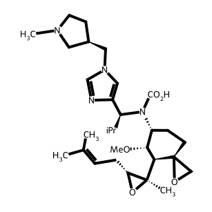 CO[C@@H]1[C@H](N(C(=O)O)[C@H](c2cn(C[C@@H]3CCN(C)C3)cn2)C(C)C)CC[C@]2(CO2)[C@H]1[C@@]1(C)O[C@@H]1CC=C(C)C